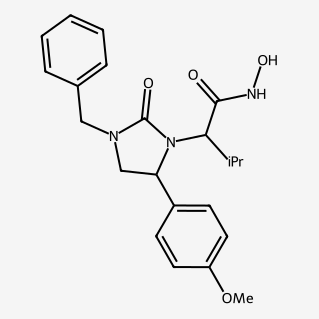 COc1ccc(C2CN(Cc3ccccc3)C(=O)N2C(C(=O)NO)C(C)C)cc1